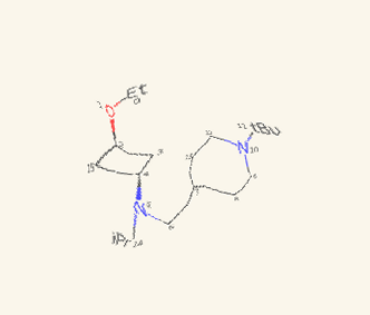 CCO[C@H]1C[C@@H](N(CC2CCN(C(C)(C)C)CC2)C(C)C)C1